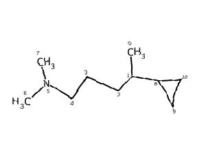 CC(CCCN(C)C)C1CC1